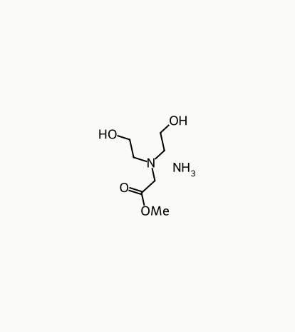 COC(=O)CN(CCO)CCO.N